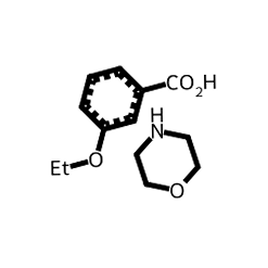 C1COCCN1.CCOc1cccc(C(=O)O)c1